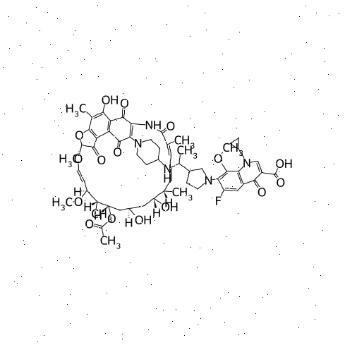 COc1c(N2CCC(C(C)NC3CCN(C4=C5NC(=O)/C(C)=C\C=C\[C@H](C)[C@H](O)C[C@@H](O)C[C@H](OC(C)=O)[C@H](C)[C@@H](OC)/C=C/O[C@@]6(C)Oc7c(C)c(O)c(c(c7C6=O)C4=O)C5=O)CC3)C2)c(F)cc2c(=O)c(C(=O)O)cn(C3CC3)c12